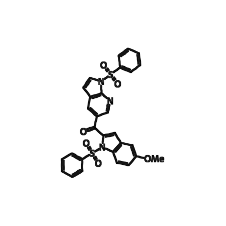 COc1ccc2c(c1)cc(C(=O)c1cnc3c(ccn3S(=O)(=O)c3ccccc3)c1)n2S(=O)(=O)c1ccccc1